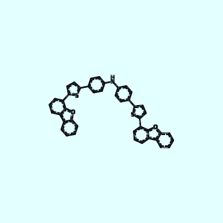 c1ccc2c(c1)oc1c(-c3ccc(-c4ccc(Nc5ccc(-c6ccc(-c7cccc8c7oc7ccccc78)s6)cc5)cc4)s3)cccc12